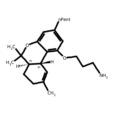 CCCCCc1cc(OCCCN)c2c(c1)OC(C)(C)[C@@H]1CCC(C)=C[C@@H]21